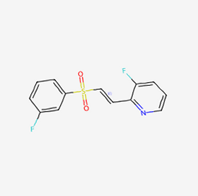 O=S(=O)(/C=C/c1ncccc1F)c1cccc(F)c1